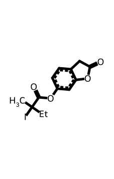 CCC(C)(I)C(=O)Oc1ccc2c(c1)OC(=O)C2